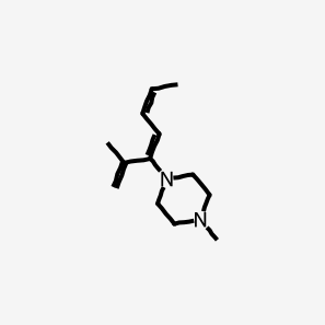 C=C(C)/C(=C\C=C/C)N1CCN(C)CC1